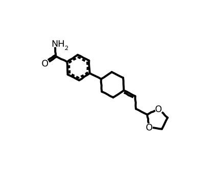 NC(=O)c1ccc(C2CCC(=CCC3OCCO3)CC2)cc1